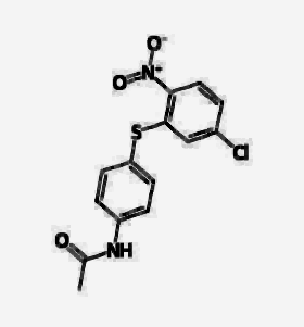 CC(=O)Nc1ccc(Sc2cc(Cl)ccc2[N+](=O)[O-])cc1